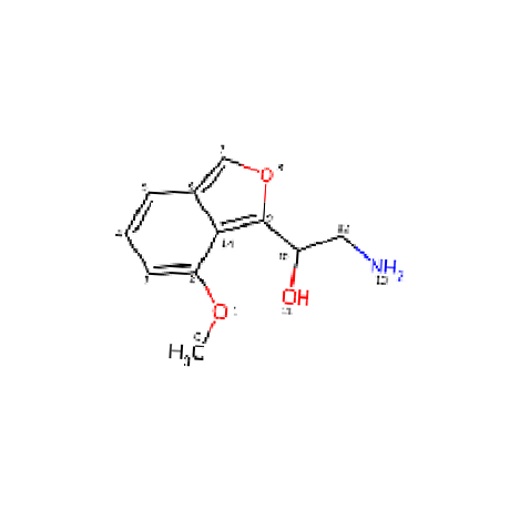 COc1cccc2coc(C(O)CN)c12